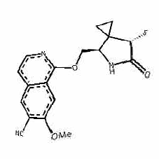 COc1cc2c(OC[C@@H]3NC(=O)[C@@H](F)C34CC4)nccc2cc1C#N